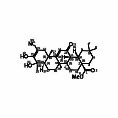 COC(=O)[C@]12CCC(C)(C)C[C@H]1[C@H]1C(=O)C=C3[C@@]4(C)CC(C#N)=C(O)[C@@](C)(O)[C@@H]4CC[C@@]3(C)[C@]1(C)CC2